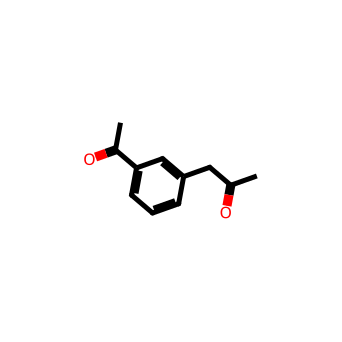 CC(=O)Cc1cccc(C(C)=O)c1